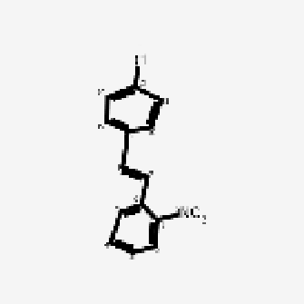 O=[N+]([O-])c1ccccc1C=Cc1ccc(Cl)cc1